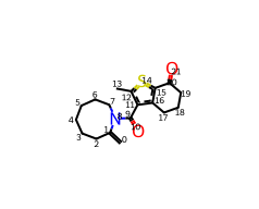 C=C1CCCCCCN1C(=O)c1c(C)sc2c1CCCC2=O